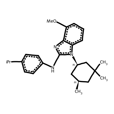 COc1cccc2c1nc(Nc1ccc(C(C)C)cc1)n2[C@@H]1C[C@H](C)CC(C)(C)C1